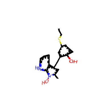 CCSc1ccc(O)c(-c2cc(C)[n+](O)c3[nH]ccc23)c1